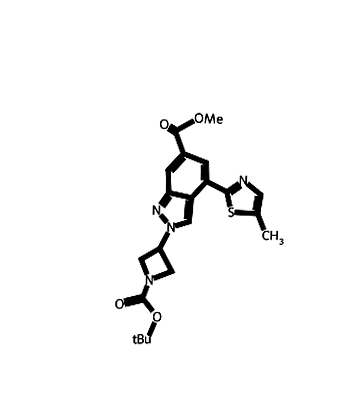 COC(=O)c1cc(-c2ncc(C)s2)c2cn(C3CN(C(=O)OC(C)(C)C)C3)nc2c1